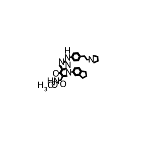 CONC(=O)c1cn(-c2ccc3c(c2)CCC3)c2nc(Nc3ccc(CCN4CCCC4)cc3)ncc2c1=O